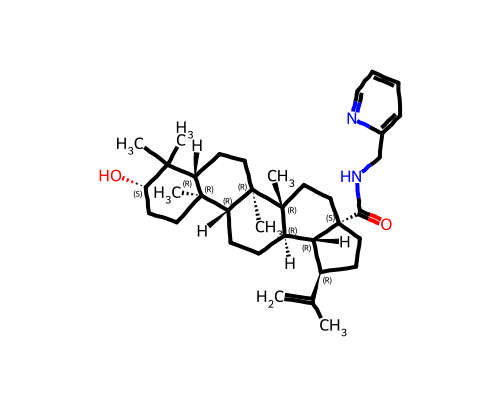 C=C(C)[C@@H]1CC[C@]2(C(=O)NCc3ccccn3)CC[C@]3(C)[C@H](CC[C@@H]4[C@@]5(C)CC[C@H](O)C(C)(C)[C@@H]5CC[C@]43C)[C@@H]12